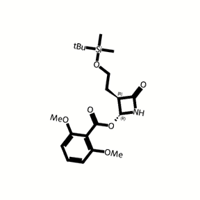 COc1cccc(OC)c1C(=O)O[C@H]1NC(=O)[C@@H]1CCO[Si](C)(C)C(C)(C)C